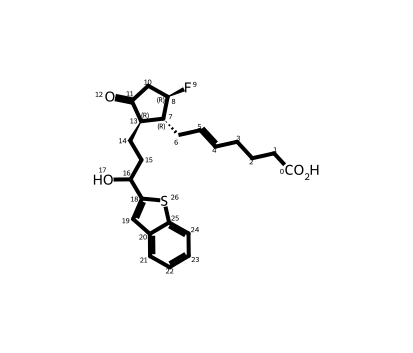 O=C(O)CCCC=CC[C@H]1[C@H](F)CC(=O)[C@@H]1CCC(O)c1cc2ccccc2s1